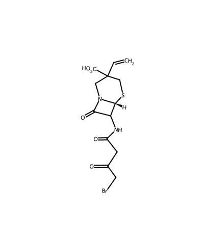 C=CC1(C(=O)O)CS[C@@H]2C(NC(=O)CC(=O)CBr)C(=O)N2C1